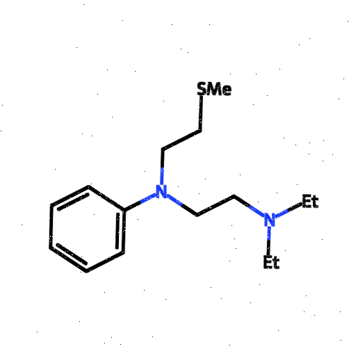 CCN(CC)CCN(CCSC)c1ccccc1